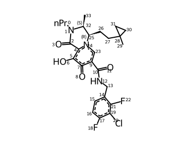 CCCN1C(=O)c2c(O)c(=O)c(C(=O)NCc3ccc(F)c(Cl)c3F)cn2[C@H](CCC2(C)CC2)[C@@H]1C